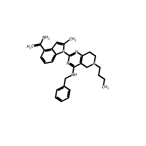 C=C(N)c1cccc2c1cc(C)n2-c1nc2c(c(NCc3ccccc3)n1)CN(CCCC)CC2